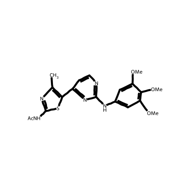 COc1cc(Nc2nccc(-c3sc(NC(C)=O)nc3C)n2)cc(OC)c1OC